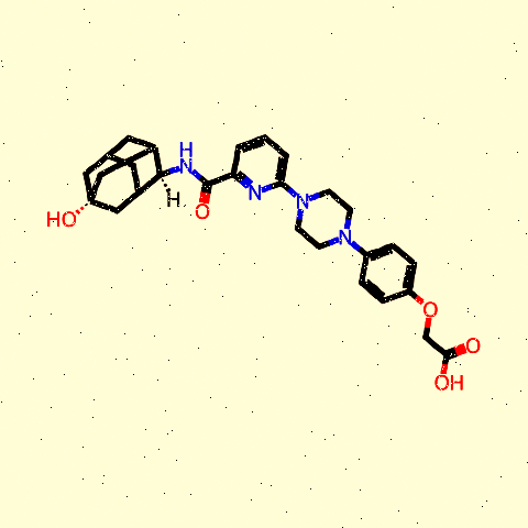 O=C(O)COc1ccc(N2CCN(c3cccc(C(=O)N[C@H]4C5CC6CC4C[C@](O)(C6)C5)n3)CC2)cc1